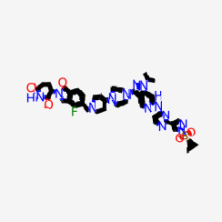 CC(C)n1nc(N2CCN(C3CCN(Cc4ccc5c(c4F)CN(C4CCC(=O)NC4=O)C5=O)CC3)CC2)c2cnc(Nc3ccnc(-c4cnn(S(=O)(=O)C5CC5)c4)n3)cc21